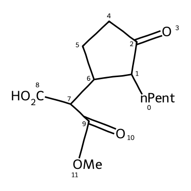 CCCCCC1C(=O)CCC1C(C(=O)O)C(=O)OC